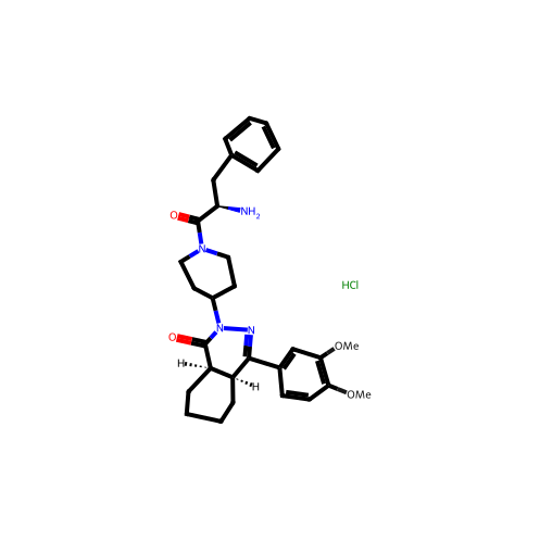 COc1ccc(C2=NN(C3CCN(C(=O)[C@H](N)Cc4ccccc4)CC3)C(=O)[C@@H]3CCCC[C@H]23)cc1OC.Cl